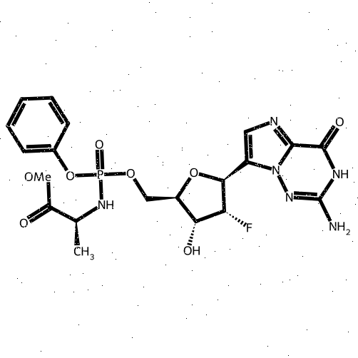 COC(=O)[C@H](C)NP(=O)(OC[C@H]1O[C@@H](c2cnc3c(=O)[nH]c(N)nn23)[C@H](F)[C@@H]1O)Oc1ccccc1